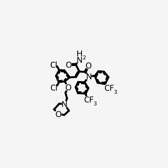 NC(=O)C(=Cc1cc(Cl)cc(Cl)c1OCCN1CCOCC1)C(=O)N(c1cccc(C(F)(F)F)c1)c1cccc(C(F)(F)F)c1